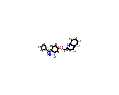 NC(c1ccc(OCc2ccc3ccccc3n2)cc1)C1CCCC1